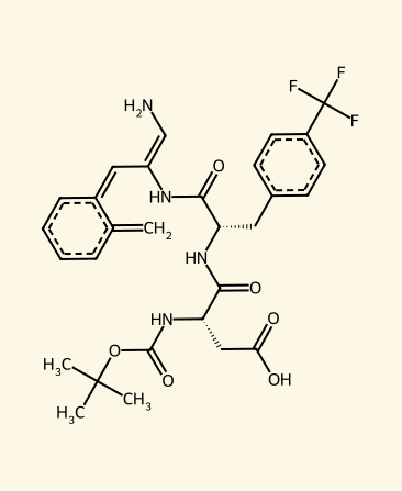 C=c1cccc/c1=C/C(=C\N)NC(=O)[C@H](Cc1ccc(C(F)(F)F)cc1)NC(=O)[C@H](CC(=O)O)NC(=O)OC(C)(C)C